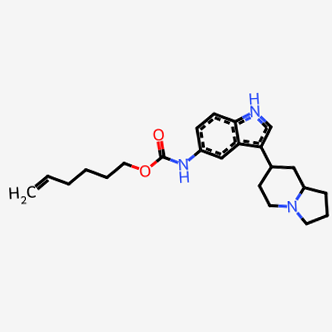 C=CCCCCOC(=O)Nc1ccc2[nH]cc(C3CCN4CCCC4C3)c2c1